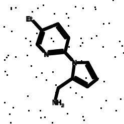 CCc1ccc(-n2cccc2CN)nc1